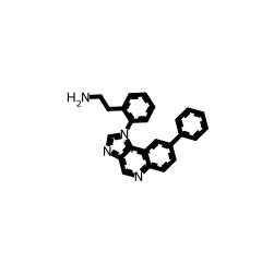 NCCc1ccccc1-n1cnc2cnc3ccc(-c4ccccc4)cc3c21